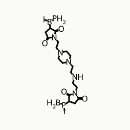 BP(I)C1CC(=O)N(CCNCCN2CCN(CCN3C(=O)CC(B(P)I)C3=O)CC2)C1=O